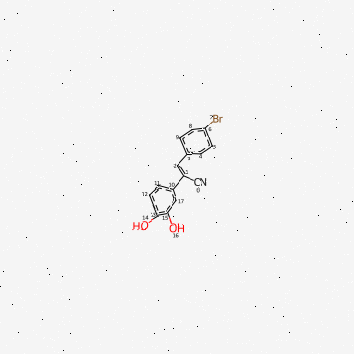 N#C/C(=C\c1ccc(Br)cc1)c1ccc(O)c(O)c1